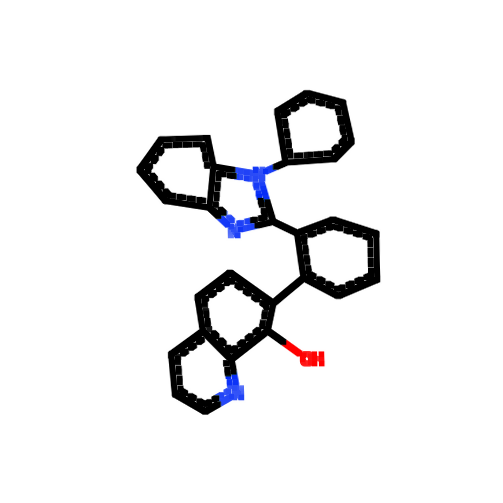 Oc1c(-c2ccccc2-c2nc3ccccc3n2-c2ccccc2)ccc2cccnc12